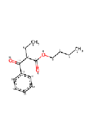 CCCCOC(=O)C(CC)C(=O)c1ccccc1